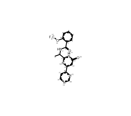 CC(NC(=O)c1ccccc1OC(F)(F)F)c1nc(-c2ccncn2)cc(=O)[nH]1